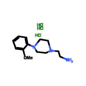 COc1ccccc1N1CCN(CCN)CC1.Cl.Cl.Cl